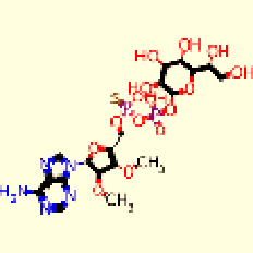 COC1[C@@H](OC)[C@@H](COP(O)(=S)OP(=O)(O)O[C@@H]2OC([C@H](O)CO)[C@@H](O)[C@H](O)C2O)O[C@H]1n1cnc2c(N)ncnc21